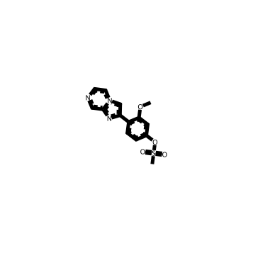 COc1cc(OS(C)(=O)=O)ccc1-c1cn2ccncc2n1